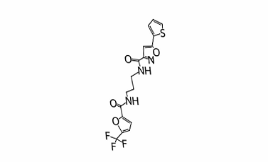 O=C(NCCCNC(=O)c1ccc(C(F)(F)F)o1)c1cc(-c2cccs2)on1